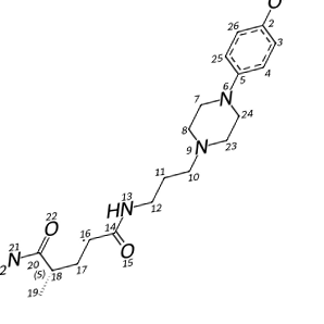 COc1ccc(N2CCN(CCCNC(=O)[CH]C[C@H](C)C(N)=O)CC2)cc1